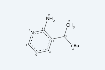 CCCCC(C)c1cccnc1N